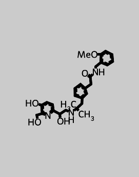 COc1ccccc1CNC(=O)Cc1cccc(CC(C)(C)NCC(O)c2ccc(O)c(CO)n2)c1